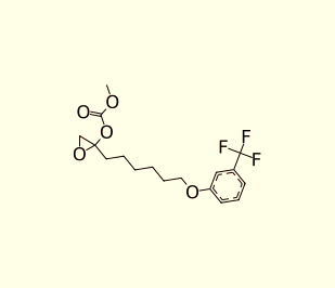 COC(=O)OC1(CCCCCCOc2cccc(C(F)(F)F)c2)CO1